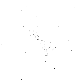 O=C(NO)c1ccc(N2CCC(CNC(C(=O)O)C3CCCCC3)CC2)cc1